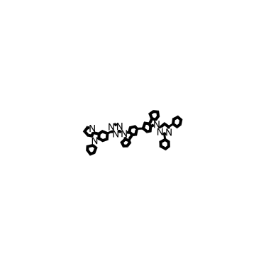 c1ccc(-c2cc(-n3c4ccccc4c4cc(-c5ccc6c(c5)c5ccccc5n6-c5ncnc(-c6ccc7c(c6)c6ncccc6n7-c6ccccc6)n5)ccc43)nc(-c3ccccc3)n2)cc1